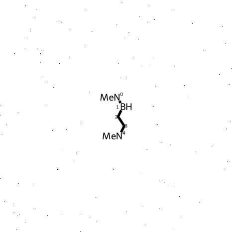 CNBCCNC